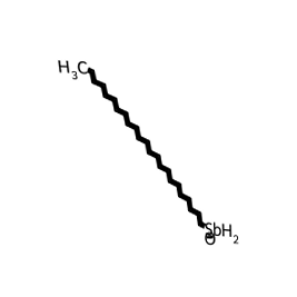 CCCCCCCCCCCCCCCCCCCCCC[CH2][SbH2]=[O]